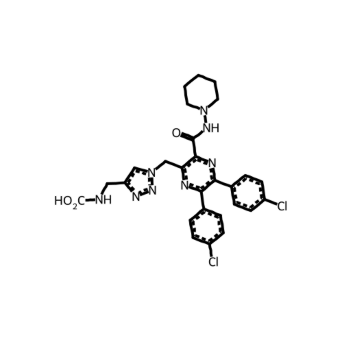 O=C(O)NCc1cn(Cc2nc(-c3ccc(Cl)cc3)c(-c3ccc(Cl)cc3)nc2C(=O)NN2CCCCC2)nn1